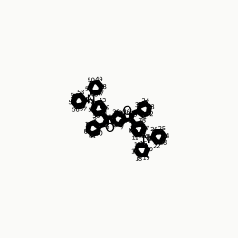 c1ccc(-c2oc3cc4c(-c5ccc(N(c6ccccc6)c6ccccc6)cc5)c(-c5ccccc5)oc4cc3c2-c2ccc(N(c3ccccc3)c3ccccc3)cc2)cc1